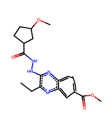 C\C=C(/C=c1/nc(CC)c(NNC(=O)C2CCC(OC)C2)n/c1=C/C)C(=O)OC